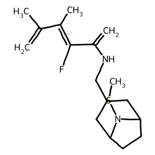 C=C(C)/C(C)=C(\F)C(=C)NCC1CC2CCC(C1)N2SC